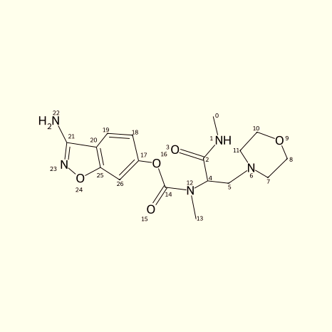 CNC(=O)C(CN1CCOCC1)N(C)C(=O)Oc1ccc2c(N)noc2c1